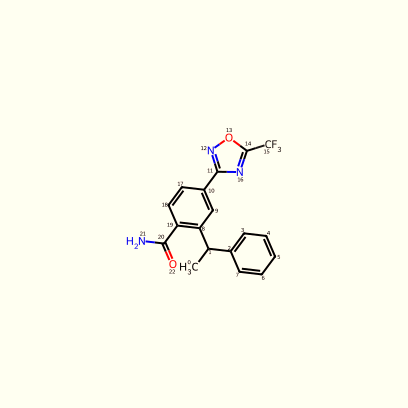 CC(c1ccccc1)c1cc(-c2noc(C(F)(F)F)n2)ccc1C(N)=O